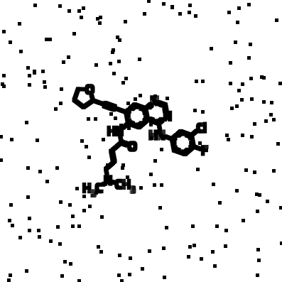 CN(C)CC=CC(=O)Nc1cc2c(Nc3ccc(F)c(Cl)c3)ncnc2cc1C#CC1CCCO1